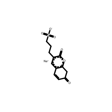 O=C1C=Cc2cc(CCCS(=O)(=O)[O-])c(=O)oc2C1.[Na+]